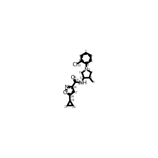 CC1CN(c2ccccc2Cl)CC1NC(=O)c1cc(C2CC2)on1